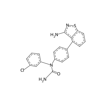 NC(=O)N(c1ccc(-c2cccc3snc(N)c23)cc1)c1cccc(Cl)c1